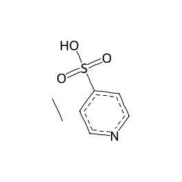 CC.O=S(=O)(O)c1ccncc1